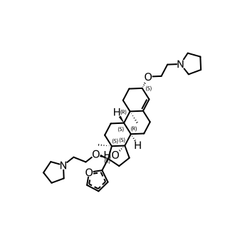 C[C@]12CC[C@H]3[C@@H](CCC4=C[C@@H](OCCN5CCCC5)CC[C@@]43C)[C@@]1(O)CC[C@]2(OCCN1CCCC1)c1ccco1